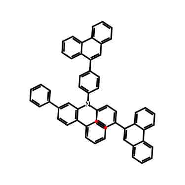 c1ccc(-c2ccc(-c3ccccc3)c(N(c3ccc(-c4cc5ccccc5c5ccccc45)cc3)c3ccc(-c4cc5ccccc5c5ccccc45)cc3)c2)cc1